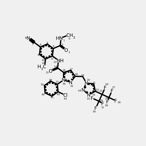 CNC(=O)c1cc(C#N)cc(C)c1NC(=O)c1cc(Cn2cc(C(F)(C(F)(F)F)C(F)(F)F)nn2)nn1-c1ccccc1Cl